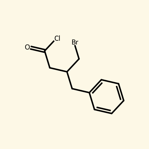 O=C(Cl)CC(CBr)Cc1ccccc1